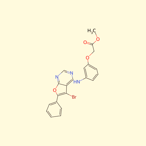 COC(=O)COc1cccc(Nc2ncnc3oc(-c4ccccc4)c(Br)c23)c1